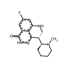 CN1CCCC[C@H]1[C@H]1CNc2cc(F)cc3c(=O)[nH]nc1c23